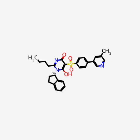 CCCCc1nc(=O)c(S(=O)(=O)c2ccc(-c3cncc(C)c3)cc2)c(O)n1[C@H]1CCc2ccccc21